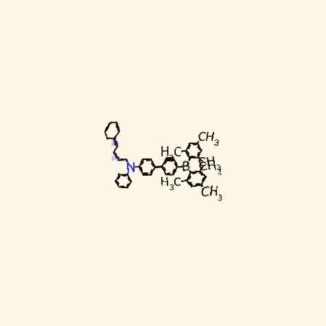 Cc1cc(C)c(B(c2c#cc(-c3ccc(N(C/C=C\C=C4\C=CC=CC4)c4ccccc4)cc3)cc2)c2c(C)cc(C)cc2C)c(C)c1